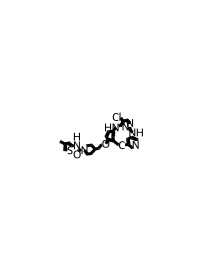 Cc1csc(NC(=O)N2CCC(CCOc3ccc4cc3CCc3cncc(c3)Nc3ncc(Cl)c(n3)N4)CC2)c1